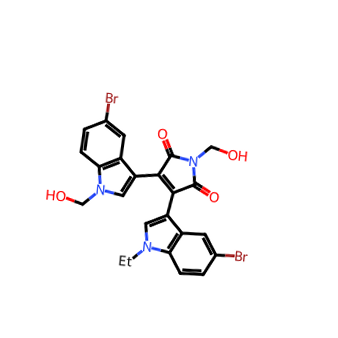 CCn1cc(C2=C(c3cn(CO)c4ccc(Br)cc34)C(=O)N(CO)C2=O)c2cc(Br)ccc21